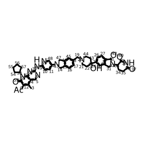 CC(=O)c1c(C)c2cnc(Nc3ccc(N4Cc5ccc(CN6CCC(O)(c7ccc8c(c7)CN(C7CCC(=O)NC7=O)C8=O)CC6)cc5C4)cn3)nc2n(C2CCCC2)c1=O